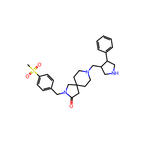 CS(=O)(=O)c1ccc(CN2CC3(CCN(CC4CNCC4c4ccccc4)CC3)CC2=O)cc1